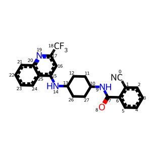 N#Cc1ccccc1C(=O)NC1CCC(Nc2cc(C(F)(F)F)nc3ccccc23)CC1